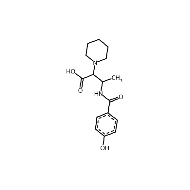 CC(NC(=O)c1ccc(O)cc1)C(C(=O)O)N1CCCCC1